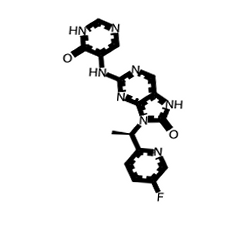 C[C@H](c1ccc(F)cn1)n1c(=O)[nH]c2cnc(Nc3cnc[nH]c3=O)nc21